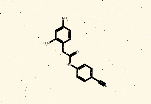 N#Cc1ccc(NC(=O)Cc2ccc(N)cc2N)cc1